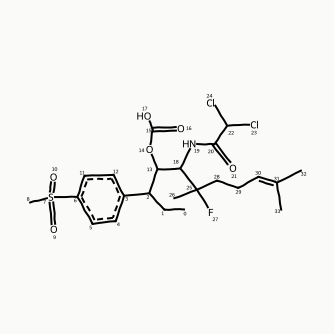 CCC(c1ccc(S(C)(=O)=O)cc1)C(OC(=O)O)C(NC(=O)C(Cl)Cl)C(C)(F)CCC=C(C)C